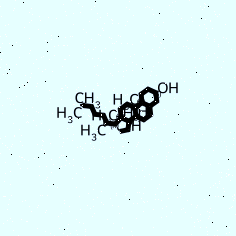 CC(C)CCC[C@H](C)[C@H]1CC[C@H]2[C@@H]3CC=C4C[C@@H](O)CC[C@]4(C)[C@H]3CC[C@]12C